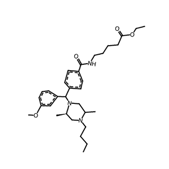 CCCCN1C[C@@H](C)N(C(c2ccc(C(=O)NCCCCC(=O)OCC)cc2)c2cccc(OC)c2)CC1C